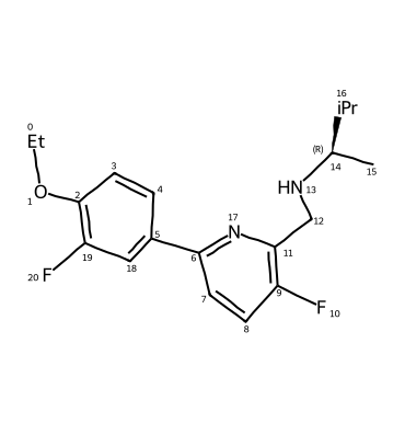 CCOc1ccc(-c2ccc(F)c(CN[C@H](C)C(C)C)n2)cc1F